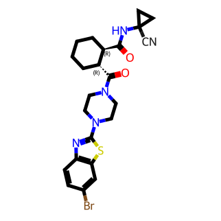 N#CC1(NC(=O)[C@@H]2CCCC[C@H]2C(=O)N2CCN(c3nc4ccc(Br)cc4s3)CC2)CC1